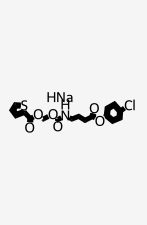 O=C(CCCNC(=O)OCOC(=O)c1cccs1)Oc1ccc(Cl)cc1.[NaH]